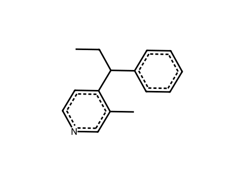 CCC(c1ccccc1)c1ccncc1C